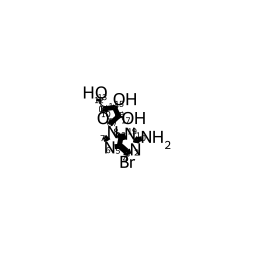 Nc1nc(Br)c2ncn([C@@H]3O[C@H](CO)C(O)[C@@H]3O)c2n1